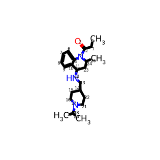 CCC(=O)N1c2ccccc2C(NCC2CCN(C(C)C)CC2)CC1C